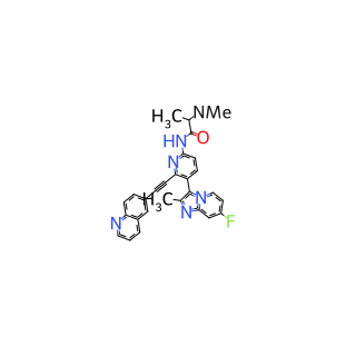 CNC(C)C(=O)Nc1ccc(-c2c(C)nc3cc(F)ccn23)c(C#Cc2ccc3ncccc3c2)n1